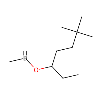 CBOC(CC)CCC(C)(C)C